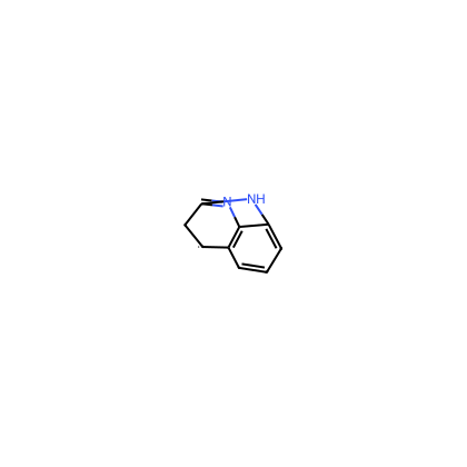 [CH]1Cc2nc3c1cccc3[nH]2